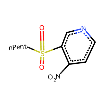 CCCCCS(=O)(=O)c1cnccc1[N+](=O)[O-]